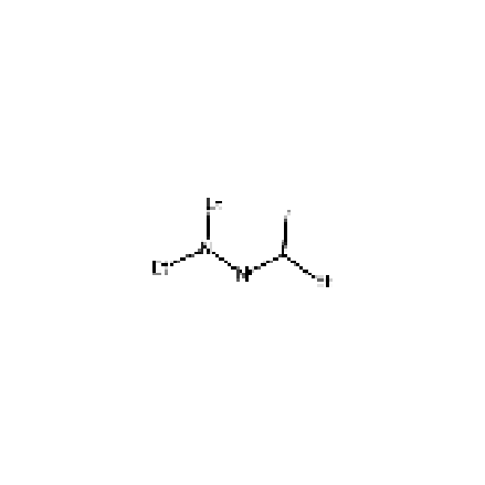 CCC(C)[N]N(CC)CC